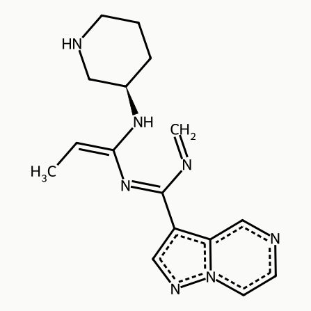 C=N/C(=N\C(=C/C)N[C@@H]1CCCNC1)c1cnn2ccncc12